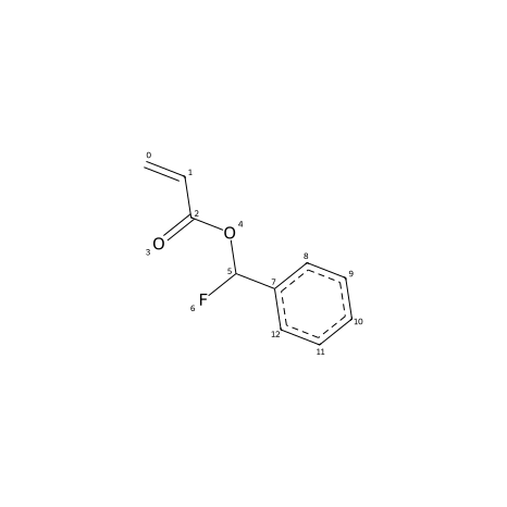 C=CC(=O)OC(F)c1ccccc1